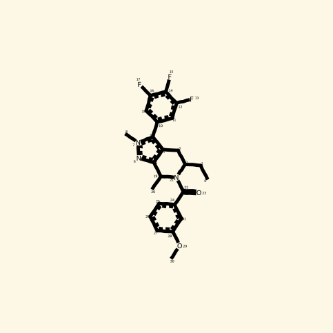 CCC1Cc2c(nn(C)c2-c2cc(F)c(F)c(F)c2)C(C)N1C(=O)c1cccc(OC)c1